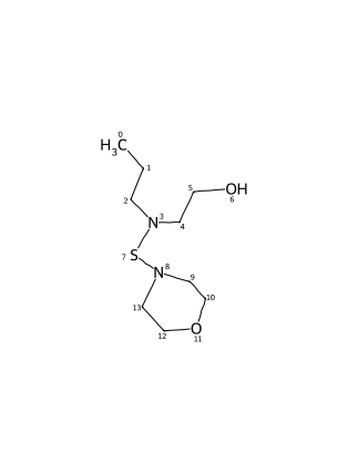 CCCN(CCO)SN1CCOCC1